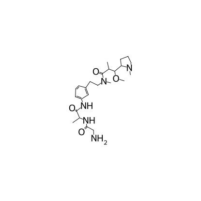 COC(C(C)C(=O)N(C)CCc1cccc(NC(=O)C(C)NC(=O)CN)c1)C1CCCN1C